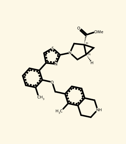 COC(=O)[C@]12C[C@H]1CN(c1nc(-c3cccc(C)c3OCc3ccc4c(c3C)CCNC4)cs1)C2